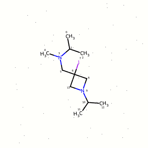 CC(C)N(C)CC1(I)CN(C(C)C)C1